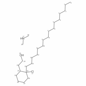 CCCCCCCCCCCCCCCCC1(Cl)CCCCC1CCO.CNC